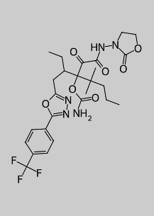 CCCC(C)(C)C(OC(N)=O)(C(=O)C(=O)NN1CCOC1=O)C(CC)Cc1nnc(-c2ccc(C(F)(F)F)cc2)o1